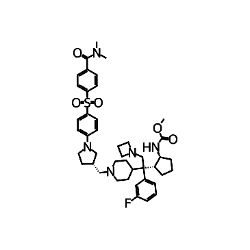 COC(=O)N[C@H]1CCC[C@@H]1C(CN1CCC1)(c1cccc(F)c1)C1CCN(C[C@@H]2CCN(c3ccc(S(=O)(=O)c4ccc(C(=O)N(C)C)cc4)cc3)C2)CC1